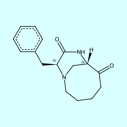 O=C1CCCCN2C[C@@H]1NC(=O)[C@@H]2Cc1ccccc1